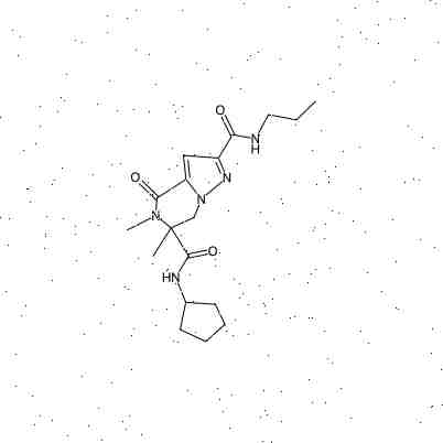 CCCNC(=O)c1cc2n(n1)CC(C)(C(=O)NC1CCCC1)N(C)C2=O